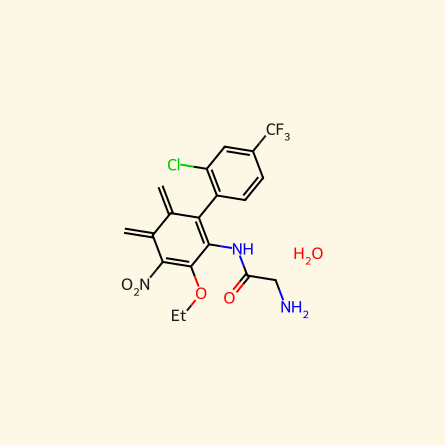 C=c1c(-c2ccc(C(F)(F)F)cc2Cl)c(NC(=O)CN)c(OCC)c([N+](=O)[O-])c1=C.O